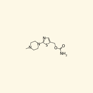 CN1CCN(c2ncc(COC(N)=O)s2)CC1